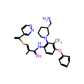 C=C(S/C=C(\C)C(=P)Nc1ccc(Oc2ccccc2)c(C(F)(F)F)c1N1CCC[C@@H](CN)C1)c1ccnnc1